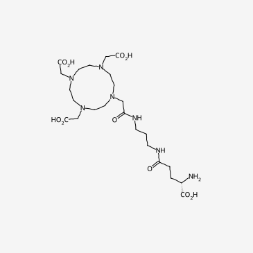 N[C@@H](CCC(=O)NCCCNC(=O)CN1CCN(CC(=O)O)CCN(CC(=O)O)CCN(CC(=O)O)CC1)C(=O)O